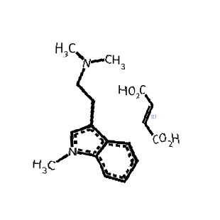 CN(C)CCc1cn(C)c2ccccc12.O=C(O)/C=C/C(=O)O